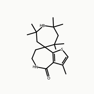 Cc1csc2c1C(=O)NCCC21CC(C)(C)BC(C)(C)CC1(C)C